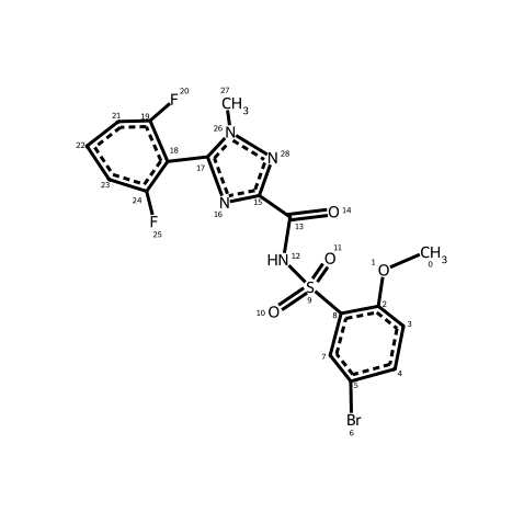 COc1ccc(Br)cc1S(=O)(=O)NC(=O)c1nc(-c2c(F)cccc2F)n(C)n1